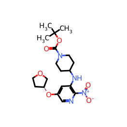 CC(C)(C)OC(=O)N1CCC(Nc2cc(O[C@@H]3CCOC3)cnc2[N+](=O)[O-])CC1